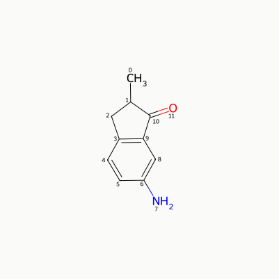 CC1Cc2ccc(N)cc2C1=O